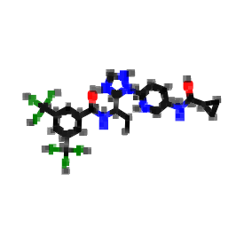 CCC(NC(=O)c1cc(C(F)(F)F)cc(C(F)(F)F)c1)c1ncnn1-c1ccc(NC(=O)C2CC2)cn1